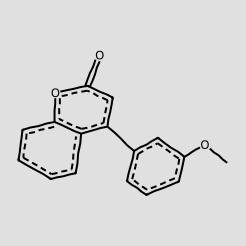 COc1cccc(-c2cc(=O)oc3ccccc23)c1